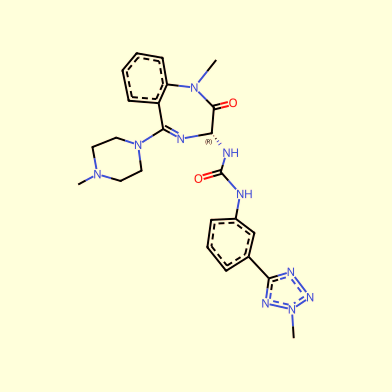 CN1CCN(C2=N[C@@H](NC(=O)Nc3cccc(-c4nnn(C)n4)c3)C(=O)N(C)c3ccccc32)CC1